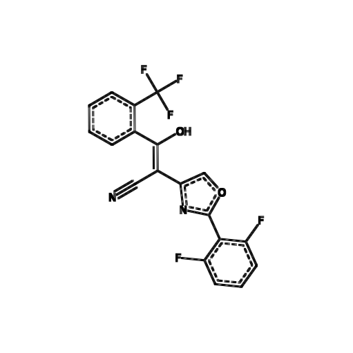 N#CC(=C(O)c1ccccc1C(F)(F)F)c1coc(-c2c(F)cccc2F)n1